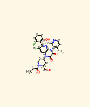 C=CC(=O)N1CCC(n2c(=O)c(=O)n(-c3c(C)ccnc3C(C)C)c3nc(-c4c(O)cccc4F)c(F)cc32)C[C@H]1CO